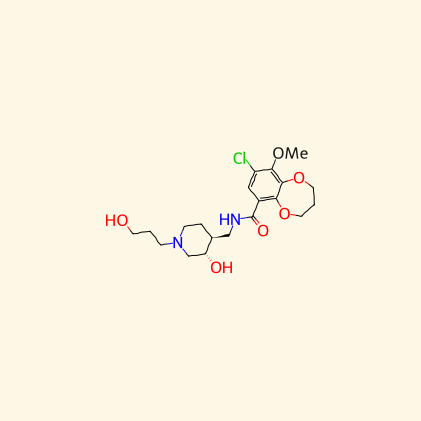 COc1c(Cl)cc(C(=O)NC[C@@H]2CCN(CCCO)C[C@H]2O)c2c1OCCCO2